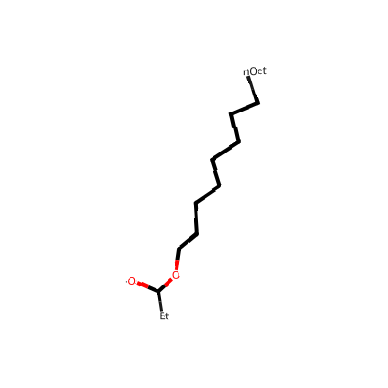 CCCCCCCCCCCCCCCCOC([O])CC